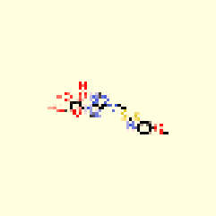 CCOc1ccc2nc(SC[C@@H](C)Nc3ncnc4c3ncn4[C@@H]3O[C@H](CO)[C@@H](O)[C@H]3O)sc2c1